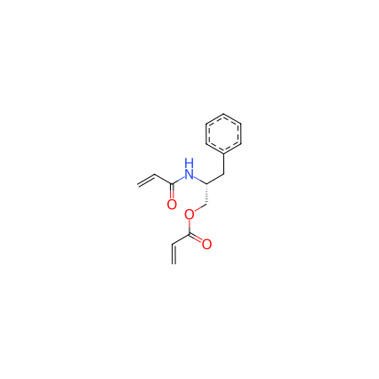 C=CC(=O)N[C@@H](COC(=O)C=C)Cc1ccccc1